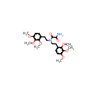 COc1ccc(CCN(CCc2ccc(OC)c(OC)c2OC)C(=O)C(N)=O)c(OC)c1OC